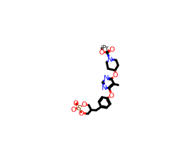 Cc1c(Oc2ccc(CC3COS(=O)(=O)OC3)cc2)ncnc1OC1CCN(C(=O)OC(C)C)CC1